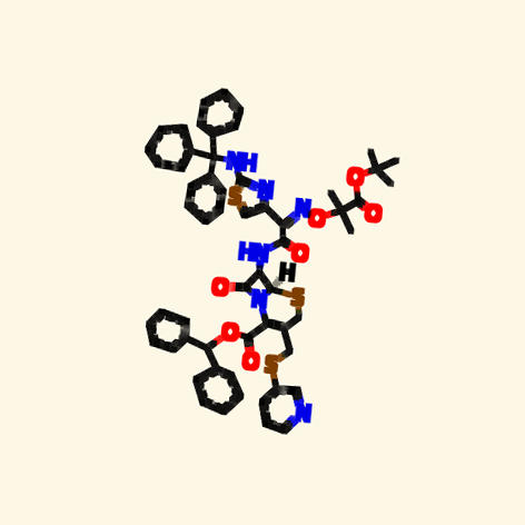 CC(C)(C)OC(=O)C(C)(C)O/N=C(\C(=O)N[C@@H]1C(=O)N2C(C(=O)OC(c3ccccc3)c3ccccc3)=C(CSc3cccnc3)CS[C@H]12)c1csc(NC(c2ccccc2)(c2ccccc2)c2ccccc2)n1